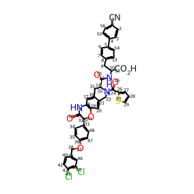 N#Cc1ccc(-c2ccc(CC(NC(=O)[C@@H]3Cc4cc5c(cc4CN3C(=O)c3cccs3)O[C@@H](c3ccc(OCc4ccc(Cl)c(Cl)c4)cc3)C(=O)N5)C(=O)O)cc2)cc1